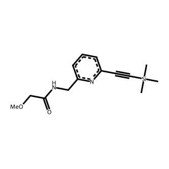 COCC(=O)NCc1cccc(C#C[Si](C)(C)C)n1